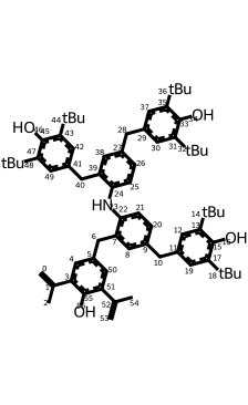 C=C(C)c1cc(Cc2cc(Cc3cc(C(C)(C)C)c(O)c(C(C)(C)C)c3)ccc2Nc2ccc(Cc3cc(C(C)(C)C)c(O)c(C(C)(C)C)c3)cc2Cc2cc(C(C)(C)C)c(O)c(C(C)(C)C)c2)cc(C(=C)C)c1O